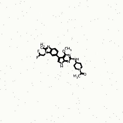 COc1nc(NC2CCN(C(C)=O)CC2)nc2[nH]cc(-c3ccc4nc(C)n(CC(F)F)c4c3)c12